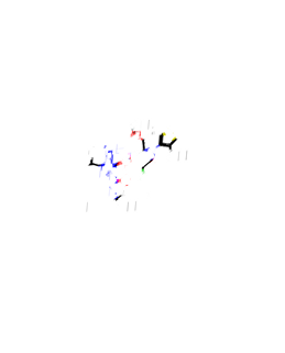 CC(C)c1nn(C(=O)NC(C)(C)C)c(=O)n1N.COC[C@H](C)N(C(=O)CCl)c1c(C)csc1C